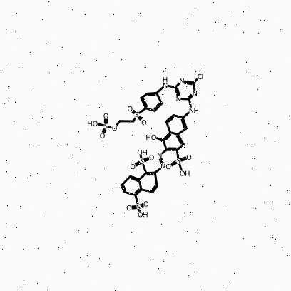 O=S(=O)(O)OCCS(=O)(=O)c1ccc(Nc2nc(Cl)nc(Nc3ccc4c(O)c(/N=N/c5ccc6c(S(=O)(=O)O)cccc6c5S(=O)(=O)O)c(S(=O)(=O)O)cc4c3)n2)cc1